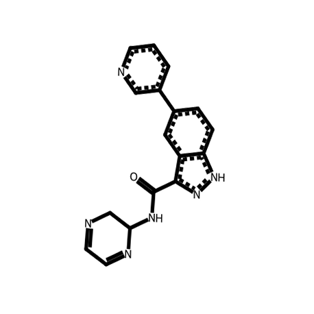 O=C(NC1CN=CC=N1)c1n[nH]c2ccc(-c3cccnc3)cc12